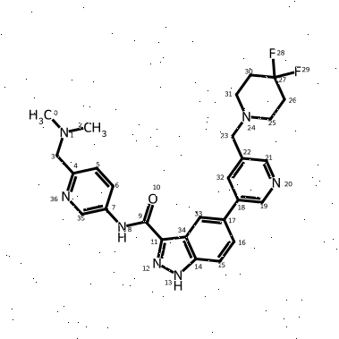 CN(C)Cc1ccc(NC(=O)c2n[nH]c3ccc(-c4cncc(CN5CCC(F)(F)CC5)c4)cc23)cn1